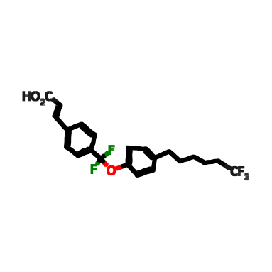 O=C(O)C=Cc1ccc(C(F)(F)Oc2ccc(CCCCCC(F)(F)F)cc2)cc1